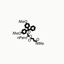 CCCCCC(COC(c1ccccc1)(c1ccc(OC)cc1)c1ccc(OC)cc1)OC(=O)CCC(=O)NC